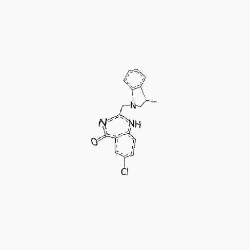 CC1CN(Cc2nc(=O)c3cc(Cl)ccc3[nH]2)c2ccccc21